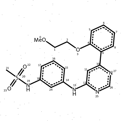 COCCOc1ccccc1-c1cc(Nc2cccc(NS(C)(=O)=O)c2)ncn1